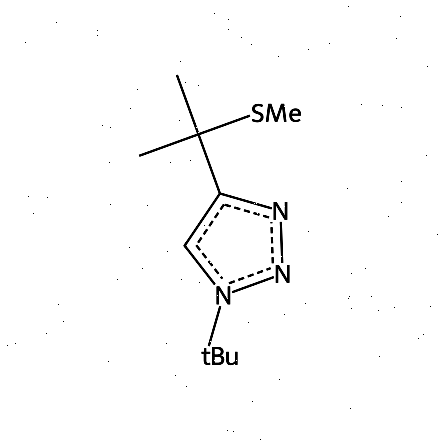 CSC(C)(C)c1cn(C(C)(C)C)nn1